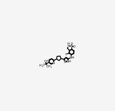 CC(C)(C)c1ccc(C2CCC(c3cc(Nc4ccc5c(c4F)CNS5(=O)=O)[nH]n3)C2)nc1